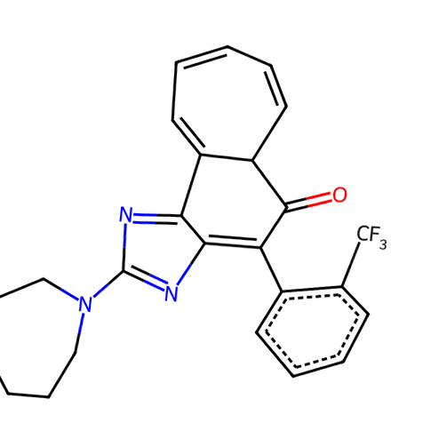 O=C1C(c2ccccc2C(F)(F)F)=C2N=C(N3CCCOCC3)N=C2C2=CC=CC=CC12